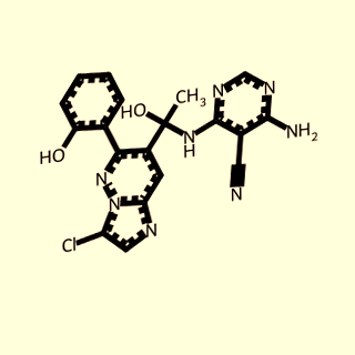 CC(O)(Nc1ncnc(N)c1C#N)c1cc2ncc(Cl)n2nc1-c1ccccc1O